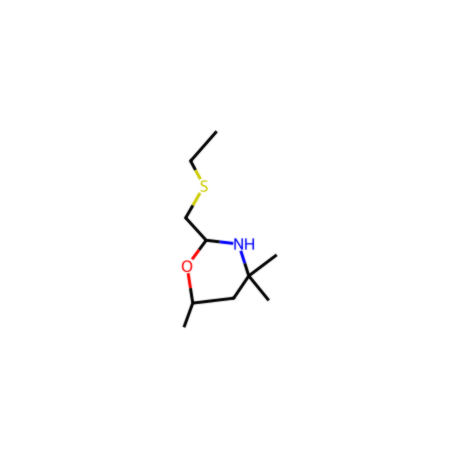 CCSCC1NC(C)(C)CC(C)O1